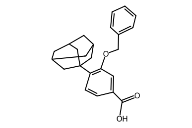 O=C(O)c1ccc(C23CC4CC(CC(C4)C2)C3)c(OCc2ccccc2)c1